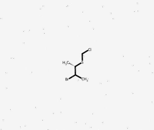 CC(Br)[C@H](C)SCCl